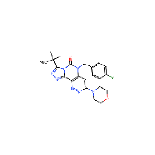 COC(C)(C)c1nnc2c3nnc(N4CCOCC4)cc3n(Cc3ccc(Cl)cc3)c(=O)n12